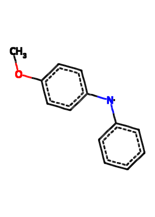 COc1ccc([N]c2ccccc2)cc1